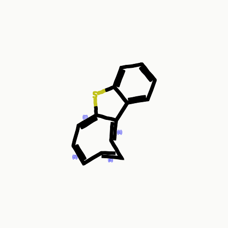 C1=C\C=c2\sc3ccccc3\c2=C/C=C/1